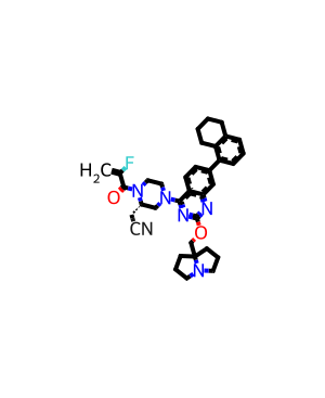 C=C(F)C(=O)N1CCN(c2nc(OCC34CCCN3CCC4)nc3cc(-c4cccc5c4CCCC5)ccc23)C[C@@H]1CC#N